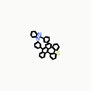 c1ccc(-c2nc3ccccc3n2-c2cccc(-c3c4ccccc4c(-c4cccc5sc6ccccc6c45)c4ccccc34)c2)cc1